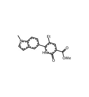 CCc1cc(C(=O)OC)c(=O)[nH]c1-c1ccc2c(ccn2C)c1